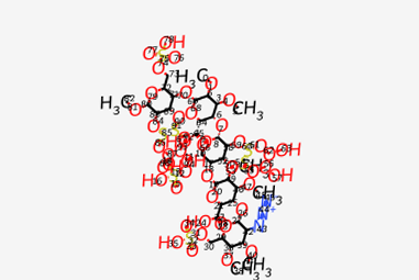 COC1C(OC)[C@H](O[C@H]2O[C@@H](COS(=O)(=O)O)[C@@H](O[C@@H]3OC(C(=O)O)[C@@H](O[C@H]4OC(COS(=O)(=O)O)[C@@H](OC)[C@H](OC)C4N=[N+]=[N-])[C@H](OC)C3OC)C(OSOOO)C2OSOOO)[C@H](C(=O)O)O[C@H]1O[C@@H]1C(COS(=O)(=O)O)O[C@H](OC)C(OSOOO)[C@H]1OSOOO